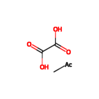 CC(C)=O.O=C(O)C(=O)O